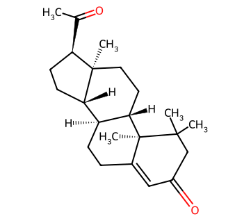 CC(=O)[C@@H]1CC[C@H]2[C@@H]3CCC4=CC(=O)CC(C)(C)[C@]4(C)[C@H]3CC[C@]12C